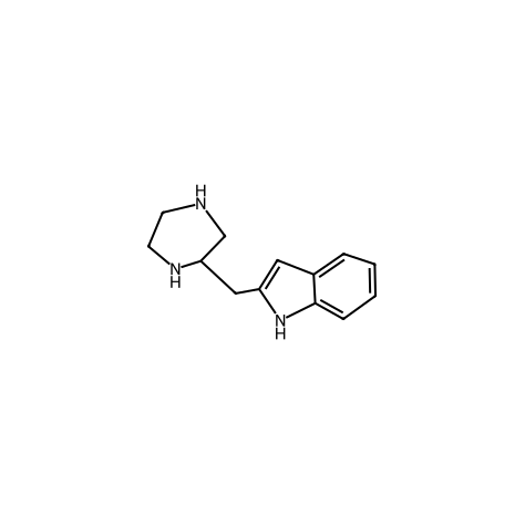 c1ccc2[nH]c(CC3CNCCN3)cc2c1